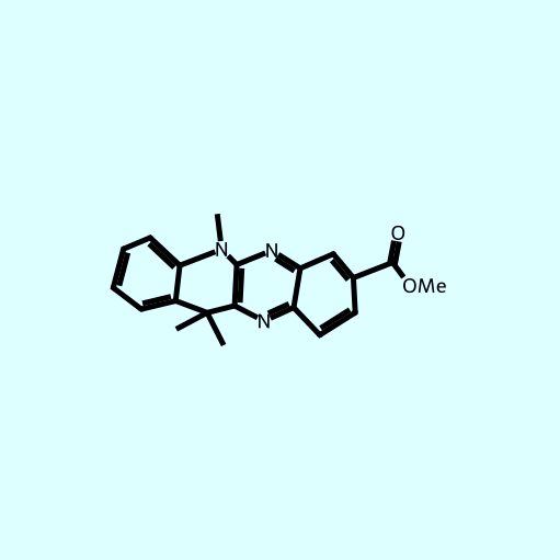 COC(=O)c1ccc2nc3c(nc2c1)N(C)c1ccccc1C3(C)C